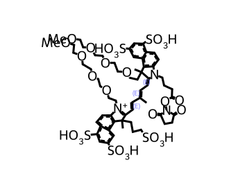 COCCOCCOCCOCC[N+]1=C(/C=C/C(C)=C/C=C2/N(CCCC(=O)ON3C(=O)CCC3=O)c3ccc4c(S(=O)(=O)O)cc(S(=O)(=O)O)cc4c3C2(C)CCOCCOCCOCCOC)C(C)(CCCS(=O)(=O)O)c2c1ccc1c(S(=O)(=O)O)cc(S(=O)(=O)O)cc21